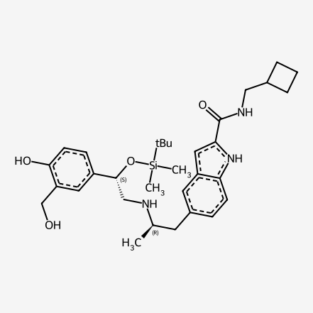 C[C@H](Cc1ccc2[nH]c(C(=O)NCC3CCC3)cc2c1)NC[C@@H](O[Si](C)(C)C(C)(C)C)c1ccc(O)c(CO)c1